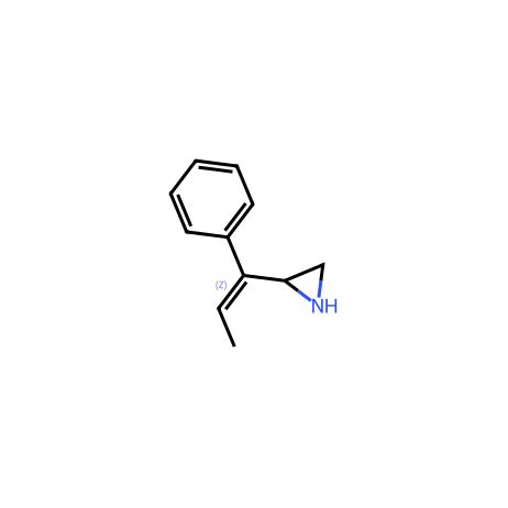 C/C=C(/c1ccccc1)C1CN1